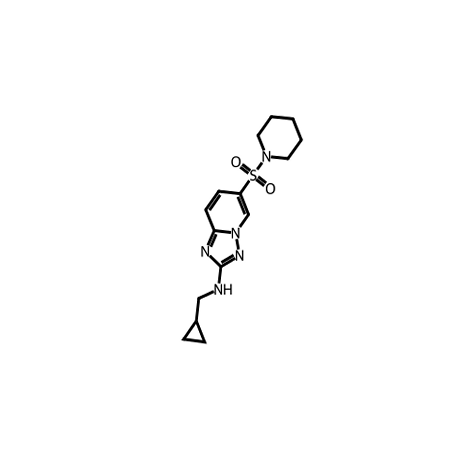 O=S(=O)(c1ccc2nc(NCC3CC3)nn2c1)N1CCCCC1